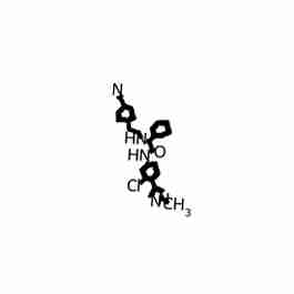 Cn1cc(-c2ccc(NC(=O)C(NCCc3ccc(C#N)cc3)c3ccccc3)cc2Cl)cn1